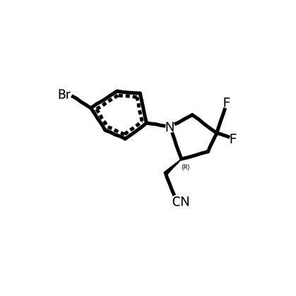 N#CC[C@@H]1CC(F)(F)CN1c1ccc(Br)cc1